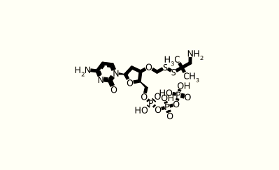 CC(C)(CN)SSCOC1C[C@H](n2ccc(N)nc2=O)O[C@@H]1COP(=O)(O)OP(=O)(O)OP(=O)(O)O